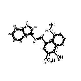 CCNc1cccc2c(O)c(C(=O)O)cc(/N=N/c3snc4ncccc34)c12